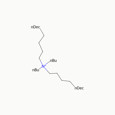 CCCCCCCCCCCCCC[N+](CCCC)(CCCC)CCCCCCCCCCCCCC